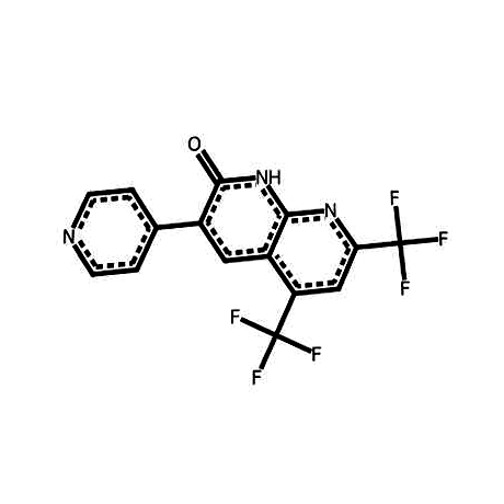 O=c1[nH]c2nc(C(F)(F)F)cc(C(F)(F)F)c2cc1-c1ccncc1